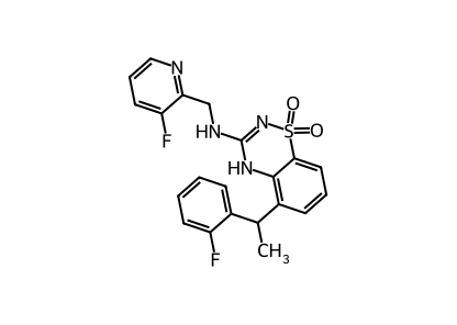 CC(c1ccccc1F)c1cccc2c1NC(NCc1ncccc1F)=NS2(=O)=O